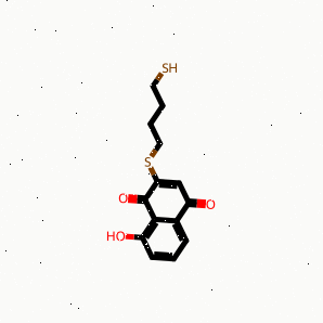 O=C1C=C(SCCCCS)C(=O)c2c(O)cccc21